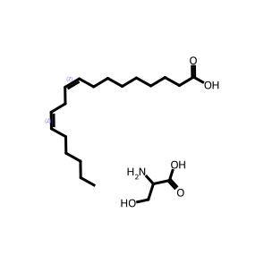 CCCCC/C=C\C/C=C\CCCCCCCC(=O)O.NC(CO)C(=O)O